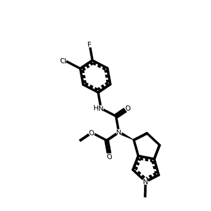 COC(=O)N(C(=O)Nc1ccc(F)c(Cl)c1)[C@H]1CCc2cn(C)cc21